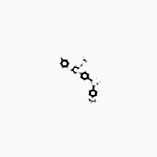 CCS(=O)(=O)c1ccc([C@H](CO)NC(=O)c2ccc(N3CC(Oc4ccc(Cl)cc4)C[C@H]3COC(F)F)cc2)cc1